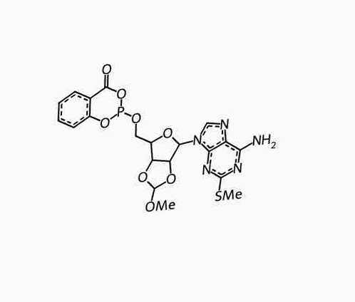 COC1OC2C(COP3OC(=O)c4ccccc4O3)OC(n3cnc4c(N)nc(SC)nc43)C2O1